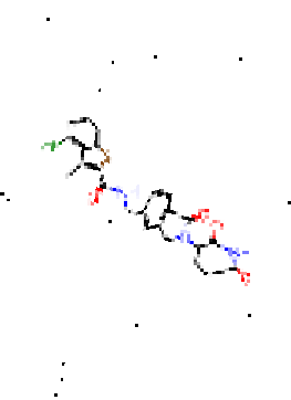 Cc1c(C(=O)NCc2ccc3c(c2)CN(C2CCC(=O)NC2=O)C3=O)sc2cccc(Cl)c12